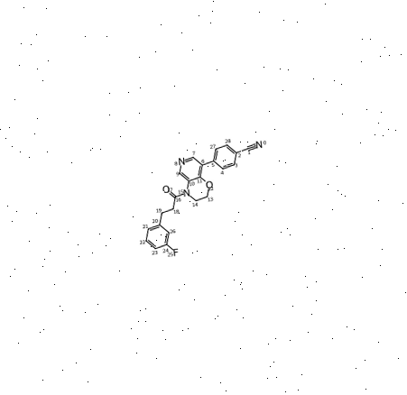 N#Cc1ccc(-c2cncc3c2OCCN3C(=O)CCc2cccc(F)c2)cc1